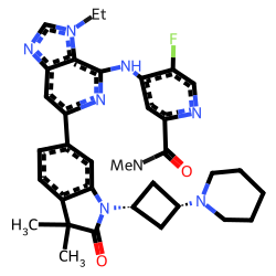 CCn1cnc2cc(-c3ccc4c(c3)N([C@H]3C[C@@H](N5CCCCC5)C3)C(=O)C4(C)C)nc(Nc3cc(C(=O)NC)ncc3F)c21